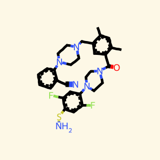 Cc1cc(C)c(C(=O)N2CCN(c3cc(F)c(SN)cc3F)CC2)cc1CN1CCN(c2ccccc2C#N)CC1